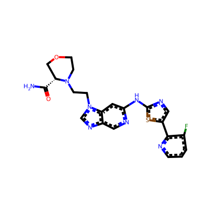 NC(=O)[C@@H]1COCCN1CCn1cnc2cnc(Nc3ncc(-c4ncccc4F)s3)cc21